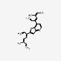 C=C/C(C)=C\N=C(/C=C)c1cc2nccc(/C(C=C)=C/C(C#N)=C\C)c2o1